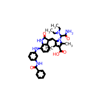 CCN(CC)C(C(N)=O)n1c(C)c(C(=O)O)c(C)c1C=C1C(=O)Nc2c(Nc3cccc(NC(=O)c4ccccc4)c3)cccc21